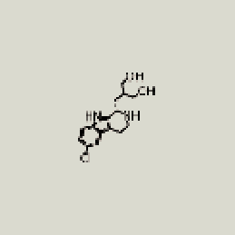 OCC(CO)C[C@@H]1NCCc2c1[nH]c1ccc(Cl)cc21